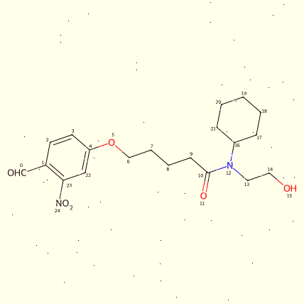 O=Cc1ccc(OCCCCC(=O)N(CCO)C2CCCCC2)cc1[N+](=O)[O-]